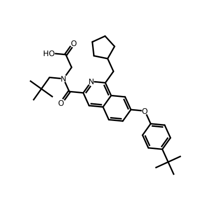 CC(C)(C)CN(CC(=O)O)C(=O)c1cc2ccc(Oc3ccc(C(C)(C)C)cc3)cc2c(CC2CCCC2)n1